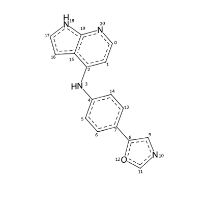 c1cc(Nc2ccc(-c3cnco3)cc2)c2cc[nH]c2n1